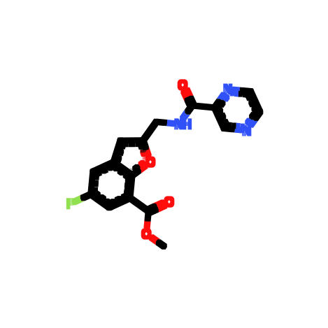 COC(=O)c1cc(F)cc2cc(CNC(=O)c3cnccn3)oc12